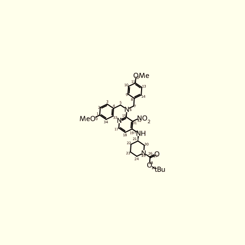 COc1ccc(CN(Cc2ccc(OC)cc2)c2nccc(N[C@@H]3CCCN(C(=O)OC(C)(C)C)C3)c2[N+](=O)[O-])cc1